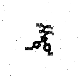 COc1ccc(-n2nc(N(C)C(=O)N(C)C)cc2-c2ccc(O)cc2)cc1